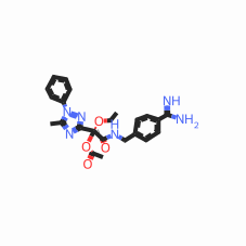 CCO[C@@](OC(C)=O)(C(=O)NCc1ccc(C(=N)N)cc1)c1nc(C)n(-c2ccccc2)n1